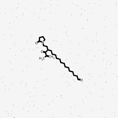 C=C(C)C(=O)C(CCCCCCCCCCCCCC=O)CCN1CCCC1=O